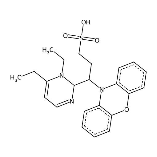 CCC1=CC=NC(C(CCS(=O)(=O)O)N2c3ccccc3Oc3ccccc32)N1CC